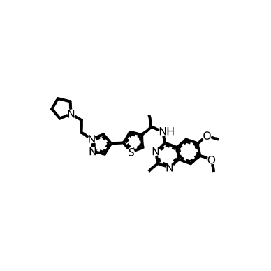 COc1cc2nc(C)nc(NC(C)c3csc(-c4cnn(CCN5CCCC5)c4)c3)c2cc1OC